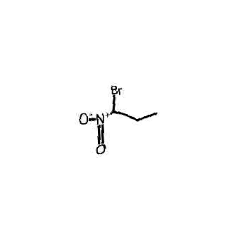 CCC(Br)[N+](=O)[O-]